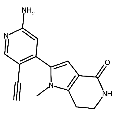 C#Cc1cnc(N)cc1-c1cc2c(n1C)CCNC2=O